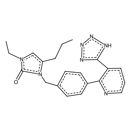 CCCc1cn(CC)c(=O)n1Cc1ccc(-c2ncccc2-c2nnn[nH]2)cc1